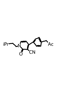 CC(=O)Cc1ccc(-c2ccn(CCC(C)C)c(=O)c2C#N)cc1